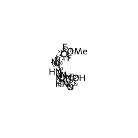 COc1c(F)cc(Cn2cc(CNc3nc(C)c4c(n3)N(C)[C@@H]([C@H](C)O)C(=O)N4)cn2)cc1F